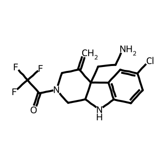 C=C1CN(C(=O)C(F)(F)F)CC2Nc3ccc(Cl)cc3C12CCN